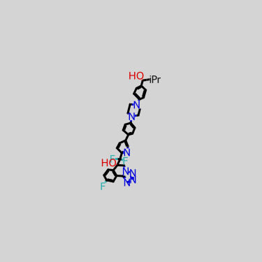 CC(C)C(O)c1ccc(N2CCN(c3ccc(-c4ccc(C(F)(F)[C@]5(O)Cn6nnnc6-c6cc(F)ccc65)nc4)cc3)CC2)cc1